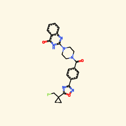 O=C(c1ccc(-c2noc(C3(CF)CC3)n2)cc1)N1CCN(c2nc3ccccc3c(=O)[nH]2)CC1